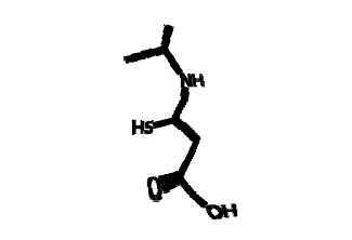 CC(C)NC(S)CC(=O)O